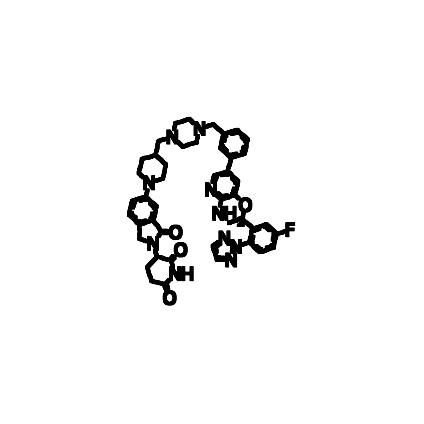 C[C@@H](Oc1cc(-c2cccc(CN3CCN(CC4CCN(c5ccc6c(c5)C(=O)N(C5CCC(=O)NC5=O)C6)CC4)CC3)c2)cnc1N)c1cc(F)ccc1-n1nccn1